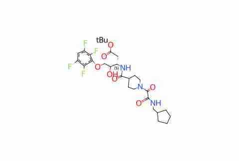 CC(C)(C)OC(=O)C[C@H](NC(=O)C1CCN(C(=O)C(=O)NCC2CCCC2)CC1)C(O)COc1c(F)c(F)cc(F)c1F